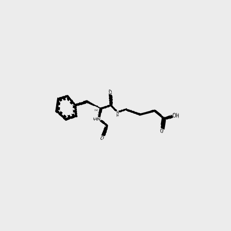 O=CN[C@@H](Cc1ccccc1)C(=O)NCCCC(=O)O